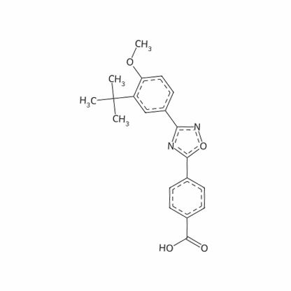 COc1ccc(-c2noc(-c3ccc(C(=O)O)cc3)n2)cc1C(C)(C)C